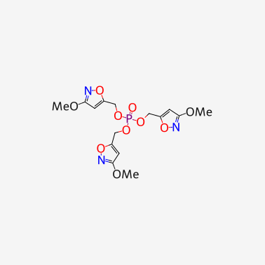 COc1cc(COP(=O)(OCc2cc(OC)no2)OCc2cc(OC)no2)on1